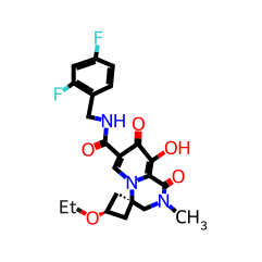 CCO[C@H]1C[C@]2(CN(C)C(=O)c3c(O)c(=O)c(C(=O)NCc4ccc(F)cc4F)cn32)C1